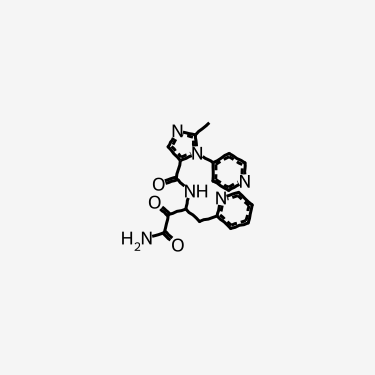 Cc1ncc(C(=O)NC(Cc2ccccn2)C(=O)C(N)=O)n1-c1ccncc1